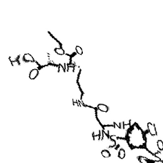 CCOC(=O)[C@H](CCCNC(=O)CC1Nc2cc(Cl)c(S(N)(=O)=O)cc2S(=O)(=O)N1)N[C@@H](C)C(=O)O